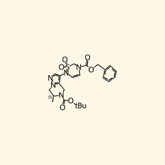 C[C@H]1Cn2ncc(N3C=CN(C(=O)OCc4ccccc4)CS3(=O)=O)c2CN1C(=O)OC(C)(C)C